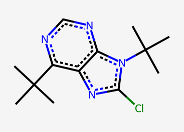 CC(C)(C)c1ncnc2c1nc(Cl)n2C(C)(C)C